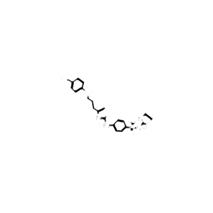 O=S(=O)(Nc1nccs1)c1ccc(Nc2nc(CCCOc3ccc(Cl)cc3)cs2)cc1